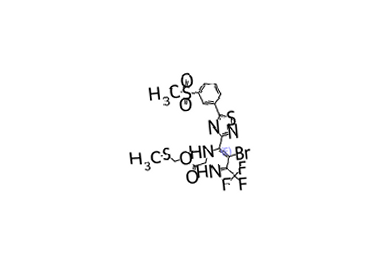 CSCOC(=O)CN/C(=C(/Br)C(=N)C(F)(F)F)c1nsc(-c2cccc(S(C)(=O)=O)c2)n1